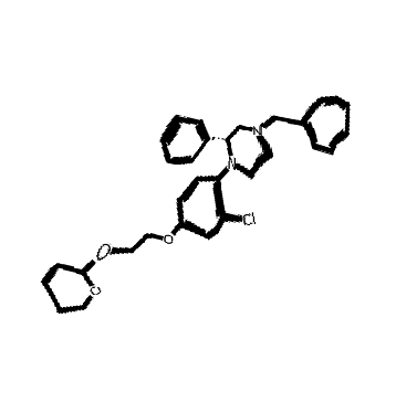 Clc1cc(OCCOC2CCCCO2)ccc1N1CCN(Cc2ccccc2)C[C@H]1c1ccccc1